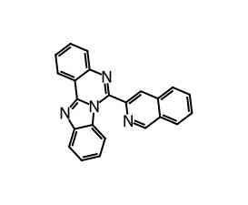 c1ccc2cc(-c3nc4ccccc4c4nc5ccccc5n34)ncc2c1